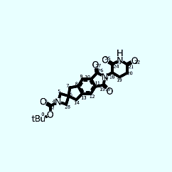 CC(C)(C)OC(=O)N1CC2(Cc3cc4c(cc3C2)C(=O)N(C2CCC(=O)NC2=O)C4=O)C1